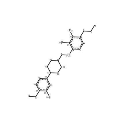 CCCc1ccc(OCC2CCC(c3ccc(CC)c(F)c3)CC2)c(F)c1F